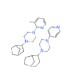 Cc1cccnc1N1CCN(C2CC3CCC2C3)CC1.c1cc(N2CCN(C3CCC4CCC3C4)CC2)ccn1